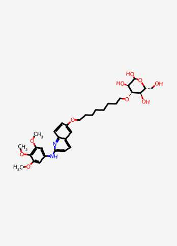 COc1cc(Nc2ccc3cc(OCCCCCCCCO[C@H]4[C@H](O)[C@@H](CO)OC(O)[C@@H]4O)ccc3n2)cc(OC)c1OC